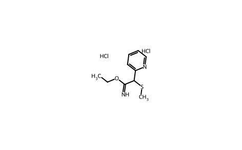 CCOC(=N)C(SC)c1ccccn1.Cl.Cl